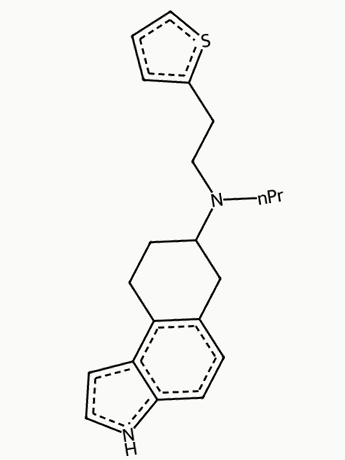 CCCN(CCc1cccs1)C1CCc2c(ccc3[nH]ccc23)C1